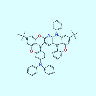 CC(C)(C)c1cc2c3c(c1)Oc1nc4c(cc1B3c1ccc(N(c3ccccc3)c3ccccc3)cc1O2)B1c2ccccc2Oc2cc(C(C)(C)C)cc(c21)N4c1ccccc1